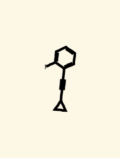 Ic1ccccc1C#CC1CC1